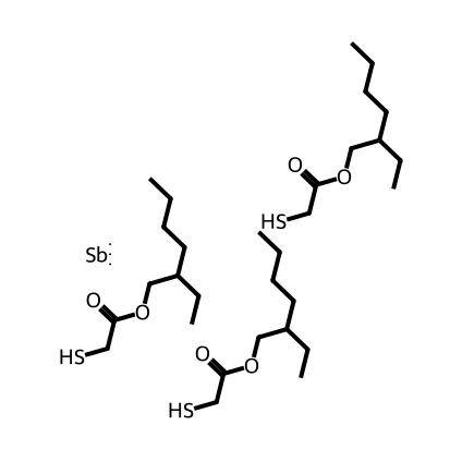 CCCCC(CC)COC(=O)CS.CCCCC(CC)COC(=O)CS.CCCCC(CC)COC(=O)CS.[Sb]